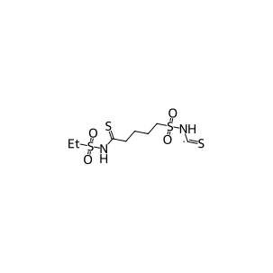 CCS(=O)(=O)NC(=S)CCCCS(=O)(=O)N[C]=S